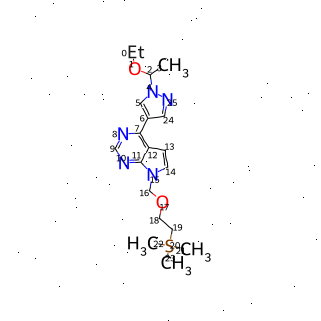 CCOC(C)n1cc(-c2ncnc3c2ccn3COCCS(C)(C)C)cn1